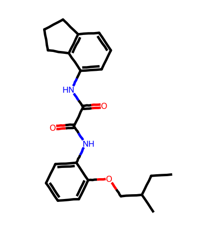 CCC(C)COc1ccccc1NC(=O)C(=O)Nc1cccc2c1CCC2